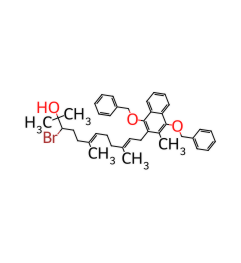 C/C(=C\Cc1c(C)c(OCc2ccccc2)c2ccccc2c1OCc1ccccc1)CC/C=C(\C)CCC(Br)C(C)(C)O